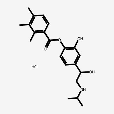 Cc1ccc(C(=O)Oc2ccc(C(O)CNC(C)C)cc2O)c(C)c1C.Cl